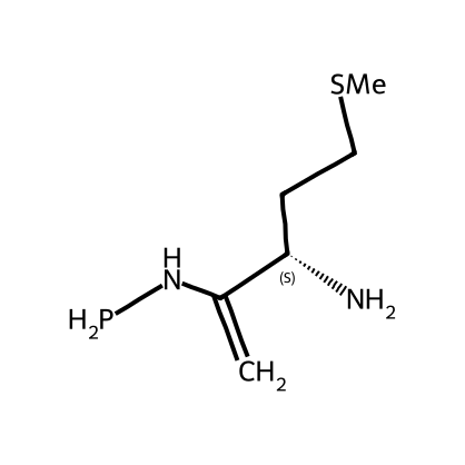 C=C(NP)[C@@H](N)CCSC